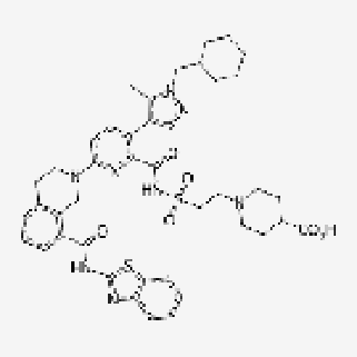 Cc1c(-c2ccc(N3CCc4cccc(C(=O)Nc5nc6ccccc6s5)c4C3)nc2C(=O)NS(=O)(=O)CCN2CCC(C(=O)O)CC2)cnn1CC1CCCCC1